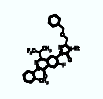 CCn1c(COCc2ccccc2)nn(-c2cc3c(C(C)C(F)(F)F)nn(-c4ccccc4C)c(=O)c3cc2F)c1=O